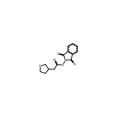 O=C(CC1CCOC1)ON1C(=O)c2ccccc2C1=O